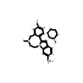 CN1CCn2c(c([C@@H]3CCCC[C@H]3F)c3ccc(C(=O)O)cc32)-c2ccc(F)cc2C1